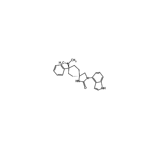 CN(C)[C@]1(c2ccccc2)CC[C@]2(CC1)CN(c1cccc3[nH]ccc13)C(=O)N2